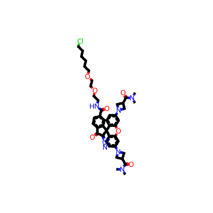 CN(C)C(=O)C1CN(c2ccc3c(c2)Oc2cc(N4CC(C(=O)N(C)C)C4)ccc2C32C(=[N+]=[N-])C(=O)c3ccc(C(=O)NCCOCCOCCCCCCCl)cc32)C1